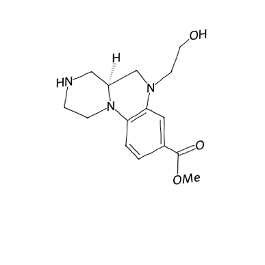 COC(=O)c1ccc2c(c1)N(CCO)C[C@@H]1CNCCN21